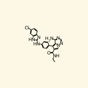 CCNC(=O)c1cn2ncnc(N)c2c1-c1ccc(Nc2nc3ccc(Cl)cc3[nH]2)cc1